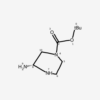 CC(C)(C)OC(=O)N1CCN[C@H](N)C1